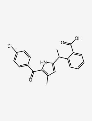 Cc1cc(C(C)c2ccccc2C(=O)O)[nH]c1C(=O)c1ccc(Cl)cc1